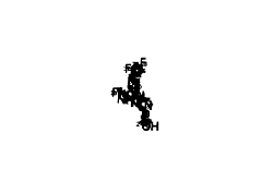 CC(C)(O)COc1cc2nc(-c3cnn(CF)c3)c(N3CCN(Cc4ccc(F)cc4F)CC3)nc2cn1